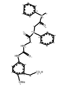 COc1ccc(NC(=O)NCC(=O)N(CC(=O)N(C)c2ccccc2)c2ccccc2)cc1CC(=O)O